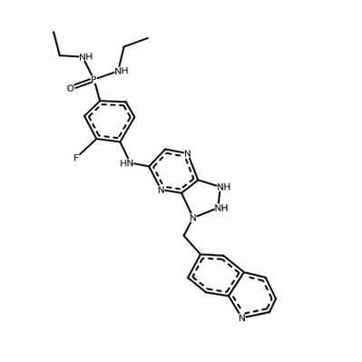 CCNP(=O)(NCC)c1ccc(Nc2cnc3c(n2)N(Cc2ccc4ncccc4c2)NN3)c(F)c1